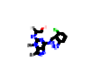 CC(C)c1nnc2c(NCc3c(N)cccc3Cl)nc(NC(CO)C(C)C)n(C(C)C)c1-2